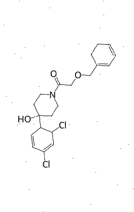 O=C(COCC1=CC=CCC1)N1CCC(O)(C2C=CC(Cl)=CC2Cl)CC1